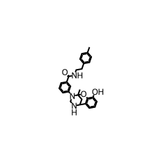 Cc1ccc(CCNC(=O)c2cccc(N3CNC4CC3(C)Oc3c(O)cccc34)c2)cc1